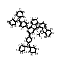 CC1(c2cccc3c2oc2ccccc23)c2ccccc2-c2c(-c3ccc(N(c4ccccc4)c4ccccc4)cc3)cc(-c3ccc(N(c4ccccc4)c4ccccc4)cc3)cc21